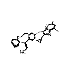 Cc1cc(C)c2nc(C3CC3)n(Cc3ccc4c(c3)COc3ccccc3C4=CC#N)c2n1